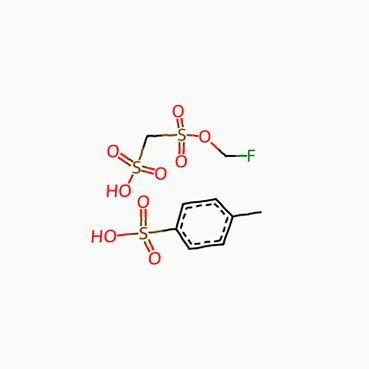 Cc1ccc(S(=O)(=O)O)cc1.O=S(=O)(O)CS(=O)(=O)OCF